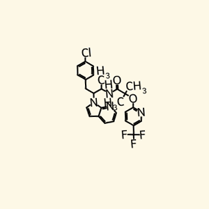 CC(NC(=O)C(C)(C)Oc1ccc(C(F)(F)F)cn1)C(Cc1ccc(Cl)cc1)n1ccc2cccnc21